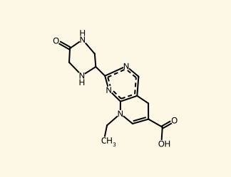 CCN1C=C(C(=O)O)Cc2cnc(C3CNC(=O)CN3)nc21